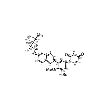 COc1c(-c2ccc3cc(OSC(F)(F)C(F)(F)C(F)(F)C(F)(F)F)ccc3c2)cc(-n2ccc(=O)[nH]c2=O)cc1C(C)(C)C